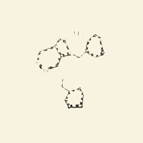 Cc1cc2cnnc(OCc3ccccc3)c2n1Cc1ccccc1